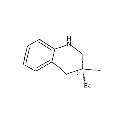 CC[C@@]1(C)CNc2ccccc2C1